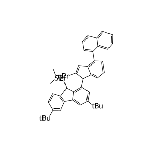 CCCC1=Cc2c(-c3cccc4ccccc34)cccc2C1c1cc(C(C)(C)C)cc2c1[CH]([Zr][SiH](C)C)c1ccc(C(C)(C)C)cc1-2